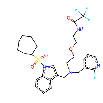 O=C(NCCOCCN(Cc1cccnc1F)Cc1cn(S(=O)(=O)C2CCCCCC2)c2ccccc12)C(F)(F)F